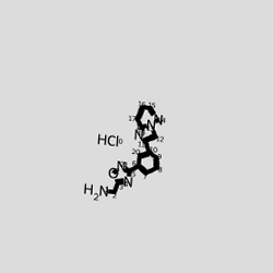 Cl.NCc1nc(-c2cccc(-c3cn4ncccc4n3)c2)no1